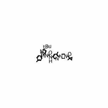 Cc1ccc(-n2nc(C(C)(C)C)cc2NC(=O)Nc2cnc(N3CCN(C(=O)C4(C)CC4)CC3)c(C)c2)cc1